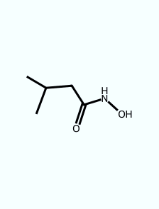 CC(C)CC(=O)NO